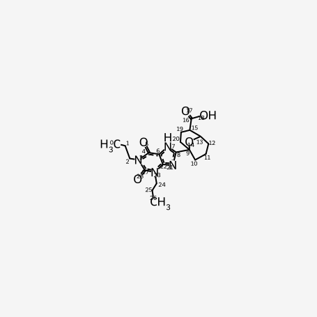 CCCn1c(=O)c2[nH]c(C34CCCC(O3)C(C(=O)O)CC4)nc2n(CCC)c1=O